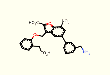 NCc1cccc(-c2cc([N+](=O)[O-])c3oc(C(=O)O)c(COc4ccccc4CC(=O)O)c3c2)c1